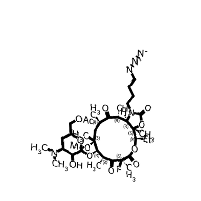 CC[C@H]1OC(=O)[C@@](C)(F)C(=O)[C@H](C)[C@@H](OC2OC(COC(C)=O)CC(N(C)C)C2O)[C@@](C)(OC)C[C@@H](C)C(=O)[C@H](C)[C@H]2N(CCCCN=[N+]=[N-])C(=O)O[C@]12C